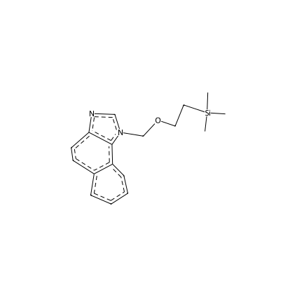 C[Si](C)(C)CCOCn1cnc2ccc3ccccc3c21